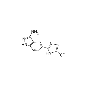 Nc1n[nH]c2ccc(-c3ncc(C(F)(F)F)[nH]3)cc12